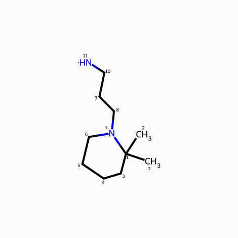 CC1(C)CCCCN1CCC[NH]